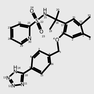 Cc1cc(OCc2ccc(-c3nnn[nH]3)cc2)c(C(C)(C)NS(=O)(=O)c2ccccn2)cc1C